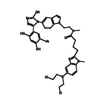 CC(C)c1cc(-c2nnc(O)n2-c2ccc3c(ccn3CCN(C)C(=O)CCCc3nc4cc(N(CCCl)CCCl)ccc4n3C)c2)c(O)cc1O